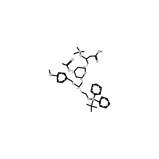 COc1ccc(CO[C@@H](CCO[Si](c2ccccc2)(c2ccccc2)C(C)(C)C)C[C@@H]2C[C@H](OC(C)=O)C[C@H](CC(CC(=O)O)O[Si](C)(C)C)O2)cc1